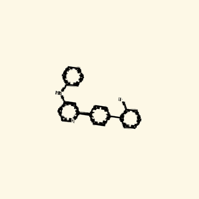 Brc1ccccc1-c1ccc(-c2cc(Nc3ccccc3)ccn2)cc1